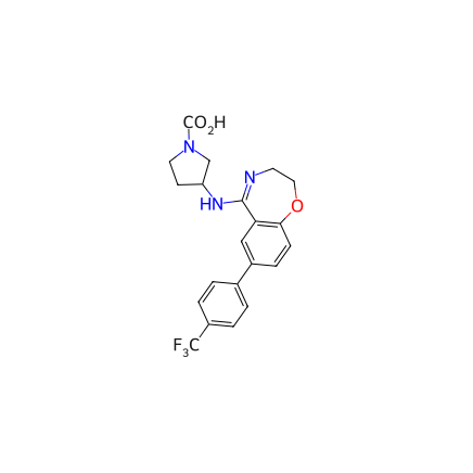 O=C(O)N1CCC(NC2=NCCOc3ccc(-c4ccc(C(F)(F)F)cc4)cc32)C1